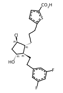 O=C(O)c1ccc(CCC[C@@H]2[C@@H](CCc3cc(F)cc(F)c3)[C@H](O)C[C@H]2Cl)s1